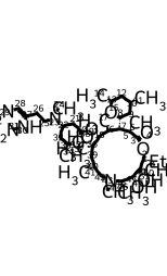 CC[C@H]1OC(=O)[C@H](C)C([C@H]2C[C@H](C)C[C@H](C)O2)[C@H](C)[C@@H](O[C@H]2C[C@@H](N(C)CC/C(=C/N)NN)C[C@@H](C)O2)[C@](C)(O)C[C@@H](C)CN(C)[C@H](C)[C@@H](O)[C@]1(C)O